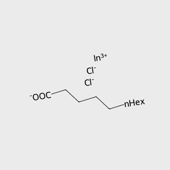 CCCCCCCCCCC(=O)[O-].[Cl-].[Cl-].[In+3]